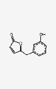 O=C1C=CC(Cc2cccc(O)c2)O1